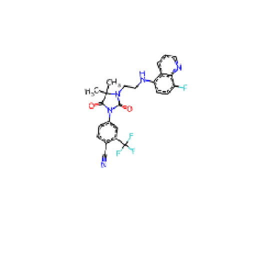 CC1(C)C(=O)N(c2ccc(C#N)c(C(F)(F)F)c2)C(=O)N1CCNc1ccc(F)c2ncccc12